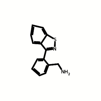 NCc1ccccc1-c1nsc2ccccc12